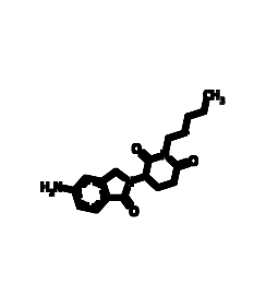 CCC[CH]CN1C(=O)CCC(N2Cc3cc(N)ccc3C2=O)C1=O